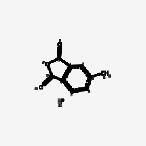 Cc1ccc2c(c1)C(=O)OC2=O.[H+]